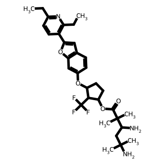 CCc1ccc(-c2cc3ccc(OC4CCC(OC(=O)C(C)(C)C(N)CC(C)(C)N)C4C(F)(F)F)cc3o2)c(CC)n1